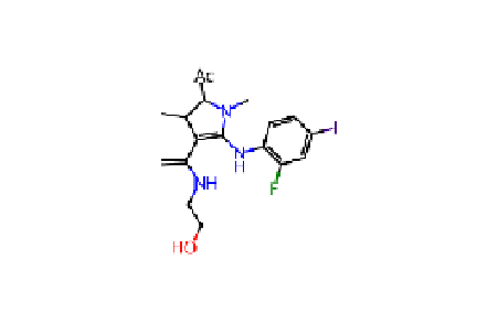 C=C(NCCO)C1=C(Nc2ccc(I)cc2F)N(C)C(C(C)=O)C1C